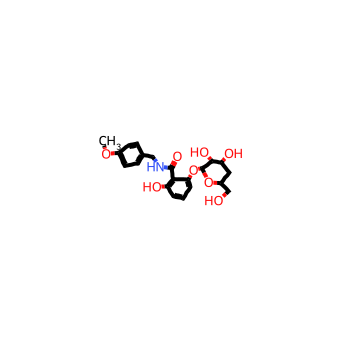 COc1ccc(CNC(=O)c2c(O)cccc2OC2OC(CO)CC(O)C2O)cc1